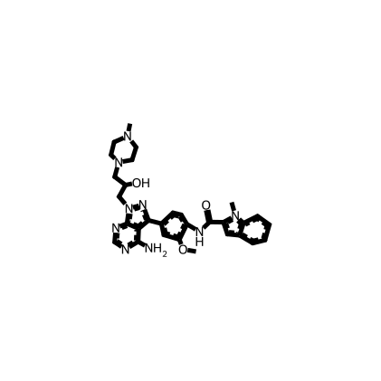 COc1cc(-c2nn(CC(O)CN3CCN(C)CC3)c3ncnc(N)c23)ccc1NC(=O)c1cc2ccccc2n1C